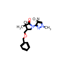 Cn1cc([N+](=O)[O-])c(N2CC(COCc3ccccc3)C(C)(C)C2=O)n1